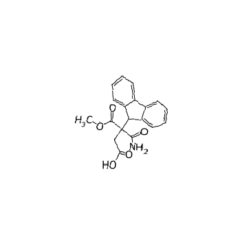 COC(=O)C(CC(=O)O)(C(N)=O)C1c2ccccc2-c2ccccc21